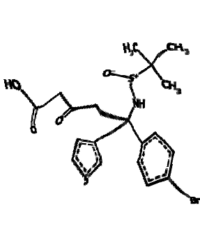 CC(C)(C)[S+]([O-])NC(CC(=O)CC(=O)O)(c1ccc(Br)cc1)c1ccsc1